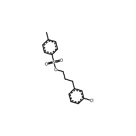 Cc1ccc(S(=O)(=O)OCCCc2cccc(Cl)c2)cc1